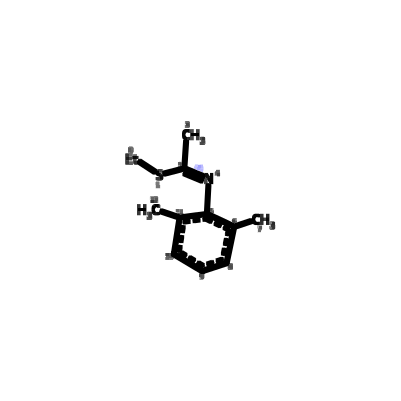 CCS/C(C)=N\c1c(C)cccc1C